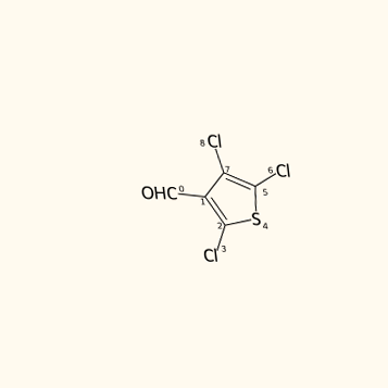 O=Cc1c(Cl)sc(Cl)c1Cl